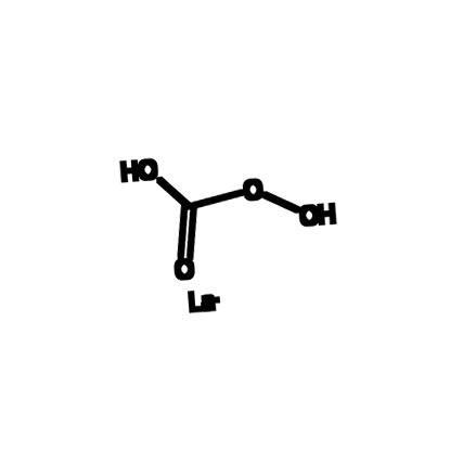 O=C(O)OO.[La]